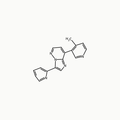 Cc1ccncc1-c1ccnn2c(-c3ccccn3)cnc12